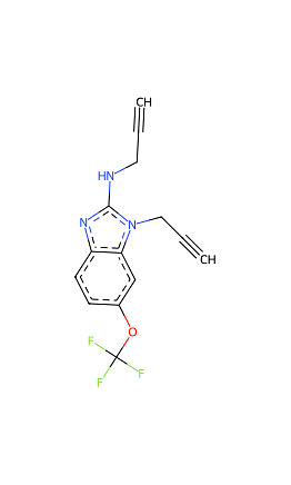 C#CCNc1nc2ccc(OC(F)(F)F)cc2n1CC#C